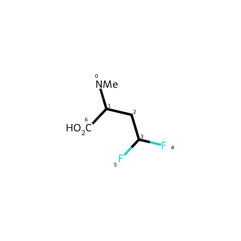 CNC(CC(F)F)C(=O)O